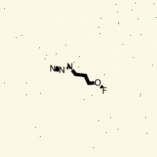 [N-]=[N+]=NCCCOF